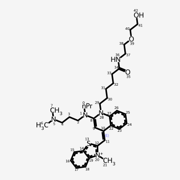 CCCN(CCCN(C)C)C1=C/C(=C\c2sc3ccccc3[n+]2C)c2ccccc2N1CCCCCC(=O)NCCOCCO